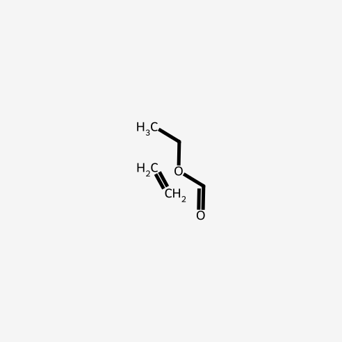 C=C.CCOC=O